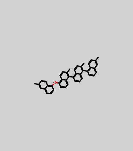 Cc1ccc2c(Oc3cccc4c(-c5cccc6c(-c7cccc8cc(C)ccc78)c(C)ccc56)c(C)ccc34)cccc2c1